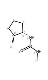 CNC(=O)N[C@H]1CCC[C@@H]1I